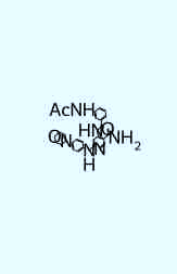 CC(=O)Nc1cccc(CNc2cc(Nc3ccc(N4CCOCC4)cc3)ncc2C(N)=O)c1